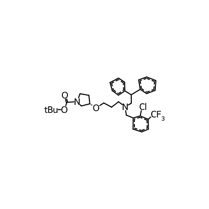 CC(C)(C)OC(=O)N1CC[C@H](OCCCN(Cc2cccc(C(F)(F)F)c2Cl)CC(c2ccccc2)c2ccccc2)C1